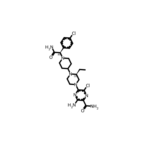 CC[C@H]1CN(c2nc(N)c(C(N)=O)nc2Cl)CCN1C1CCN([C@@H](C(N)=O)c2ccc(Cl)cc2)CC1